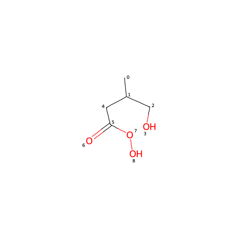 CC(CO)CC(=O)OO